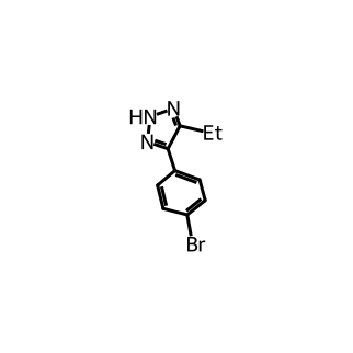 CCc1n[nH]nc1-c1ccc(Br)cc1